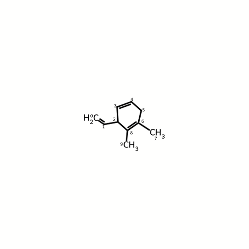 C=CC1C=CCC(C)=C1C